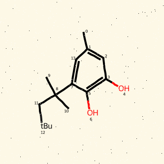 Cc1cc(O)c(O)c(C(C)(C)CC(C)(C)C)c1